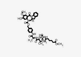 COC(=O)CCCCC(=O)NS(=O)(=O)N[C@H](C(=O)N[C@@H](C)C(=O)Nc1ccc(COC(=O)N2C[C@@H]3Cc4ccccc4N3C(=O)c3cc(OC)c(O)cc32)cc1)C(C)C